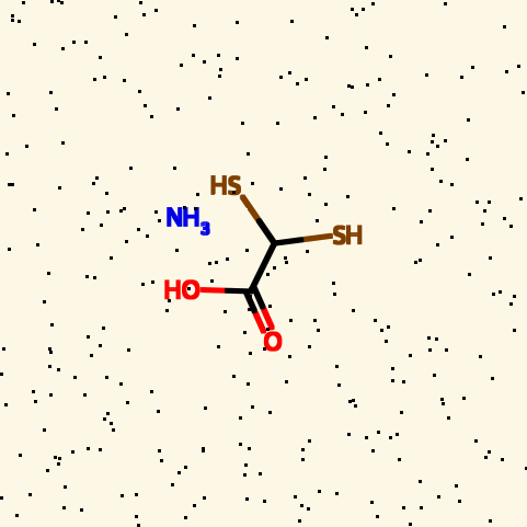 N.O=C(O)C(S)S